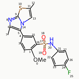 COc1ccc(-c2c(C)nc3sc(C)cn23)cc1S(=O)(=O)Nc1ccc(F)cc1